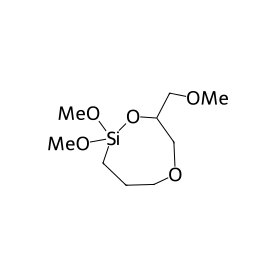 COCC1COCCC[Si](OC)(OC)O1